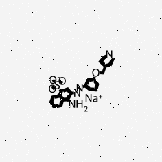 Nc1c(N=Nc2cccc(OCc3ccncc3)c2)cc(S(=O)(=O)[O-])c2ccccc12.[Na+]